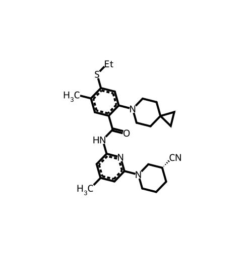 CCSc1cc(N2CCC3(CC2)CC3)c(C(=O)Nc2cc(C)cc(N3CCC[C@@H](C#N)C3)n2)cc1C